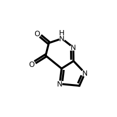 O=C1NN=C2N=CN=C2C1=O